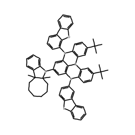 CC(C)(C)c1ccc2c(c1)B1c3cc(C(C)(C)C)ccc3N(c3cccc4c3oc3ccccc34)c3cc(N4c5ccccc5C5(C)CCCCCCC45C)cc(c31)N2c1ccc2sc3ccccc3c2c1